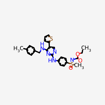 CCOC(=O)N=S(C)(=O)c1ccc(Nc2ncc(-c3cccs3)c(NCc3ccc(C)cc3)n2)cc1